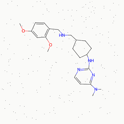 COc1ccc(CNCC2CCC(Nc3nccc(N(C)C)n3)CC2)c(OC)c1